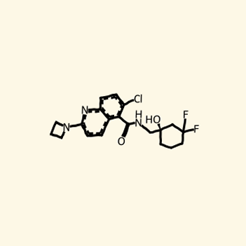 O=C(NC[C@@]1(O)CCCC(F)(F)C1)c1c(Cl)ccc2nc(N3CCC3)ccc12